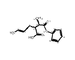 CC=CCC(C(=O)O)C(C)C(=O)Oc1ccccc1